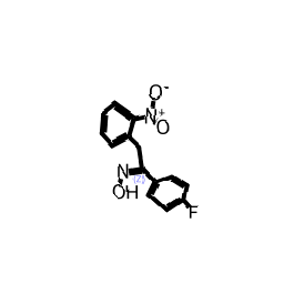 O=[N+]([O-])c1ccccc1C/C(=N/O)c1ccc(F)cc1